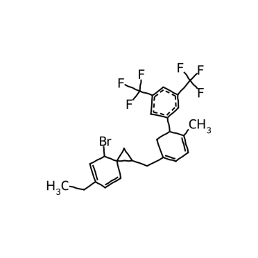 CCC1=CC(Br)C2(C=C1)CC2CC1=CC=C(C)C(c2cc(C(F)(F)F)cc(C(F)(F)F)c2)C1